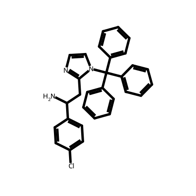 NC(Cc1nccn1C(c1ccccc1)(c1ccccc1)c1ccccc1)c1ccc(Cl)cc1